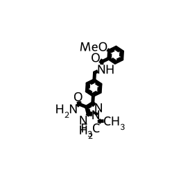 COc1ccccc1C(=O)NCc1ccc(-c2nn(C(C)C(F)(F)F)c(N)c2C(N)=O)cc1